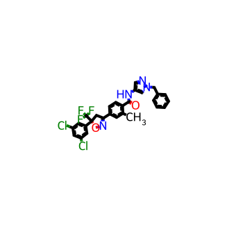 Cc1cc(C2=NOC(c3cc(Cl)cc(Cl)c3)(C(F)(F)F)C2)ccc1C(=O)Nc1cnn(Cc2ccccc2)c1